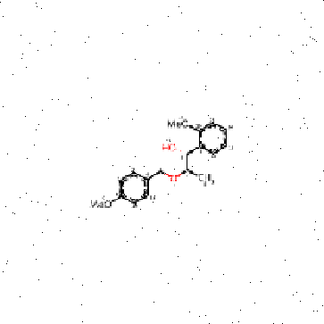 COc1ccc(COC(C)[C@H](O)c2ccccc2OC)cc1